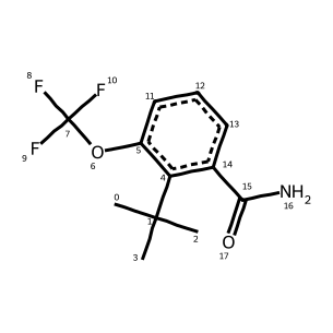 CC(C)(C)c1c(OC(F)(F)F)cccc1C(N)=O